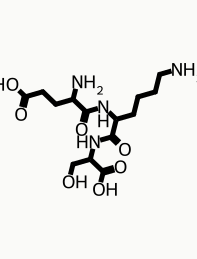 NCCCCC(NC(=O)C(N)CCC(=O)O)C(=O)NC(CO)C(=O)O